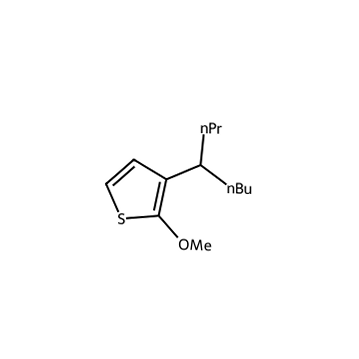 CCCCC(CCC)c1ccsc1OC